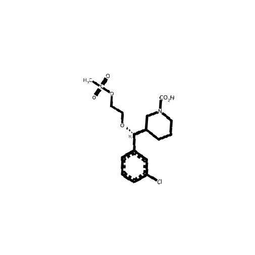 CS(=O)(=O)OCCO[C@@H](c1cccc(Cl)c1)C1CCCN(C(=O)O)C1